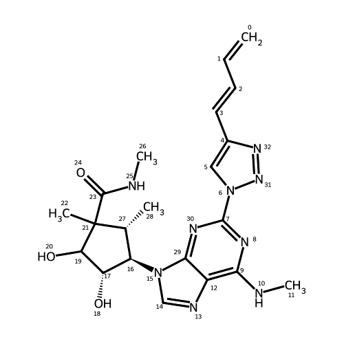 C=C/C=C/c1cn(-c2nc(NC)c3ncn([C@H]4[C@H](O)C(O)C(C)(C(=O)NC)[C@@H]4C)c3n2)nn1